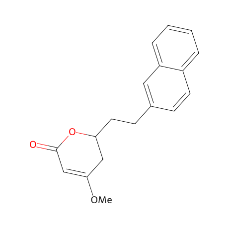 COC1=CC(=O)OC(CCc2ccc3ccccc3c2)C1